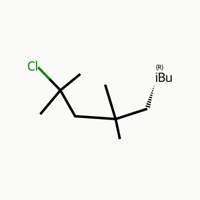 CC[C@@H](C)CC(C)(C)CC(C)(C)Cl